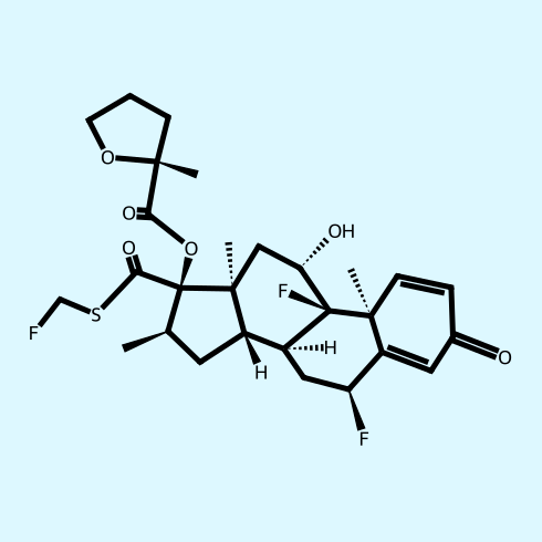 C[C@@H]1C[C@H]2[C@@H]3C[C@H](F)C4=CC(=O)C=C[C@]4(C)[C@@]3(F)[C@@H](O)C[C@]2(C)[C@@]1(OC(=O)[C@@]1(C)CCCO1)C(=O)SCF